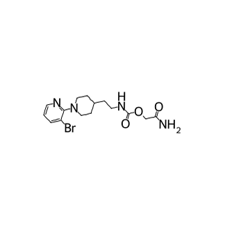 NC(=O)COC(=O)NCCC1CCN(c2ncccc2Br)CC1